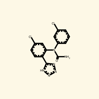 NC(=O)N(c1cccc(Cl)c1)c1cc(Cl)ccc1-c1nnn[nH]1